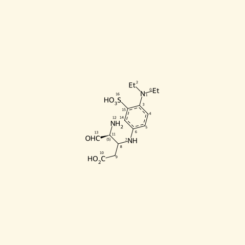 CCN(CC)c1ccc(NC(CC(=O)O)[C@H](N)C=O)cc1S(=O)(=O)O